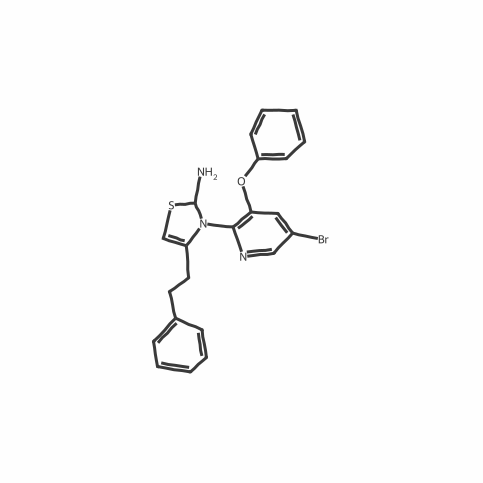 NC1SC=C(CCc2ccccc2)N1c1ncc(Br)cc1Oc1ccccc1